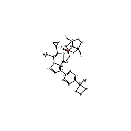 Nc1c(C2CC2)c([C@H]2C[C@H]3CC[C@@H](C2)N3C(=O)CO)nc2c(-c3ccc(C4(O)CCC4)nc3)cnn12